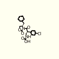 O=C(O)NC[C@@H](C(=O)N1C(=O)OC[C@H]1Cc1ccccc1)c1ccc(Cl)cc1